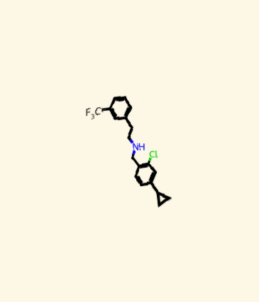 FC(F)(F)c1cccc(CCNCc2ccc(C3CC3)cc2Cl)c1